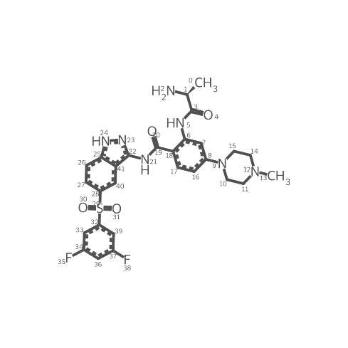 C[C@H](N)C(=O)Nc1cc(N2CCN(C)CC2)ccc1C(=O)Nc1n[nH]c2ccc(S(=O)(=O)c3cc(F)cc(F)c3)cc12